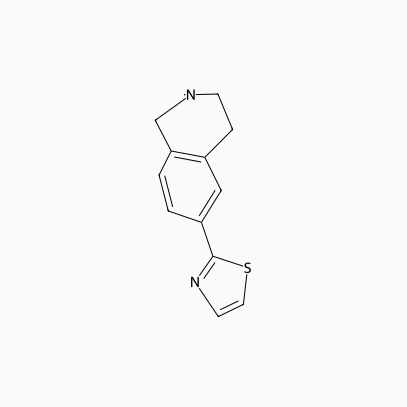 c1csc(-c2ccc3c(c2)CC[N]C3)n1